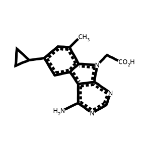 Cc1cc(C2CC2)cc2c3c(N)ncnc3n(CC(=O)O)c12